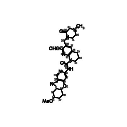 COC1CCC(Oc2cc(NC(=O)N3CCCc4cc(CN5CCN(C)CC5=O)c(C=O)nc43)ncc2C#N)CC1